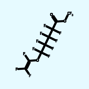 O=C(OC(F)(F)F)C(F)(F)C(F)(F)C(F)(F)C(F)(F)OC(F)=C(F)F